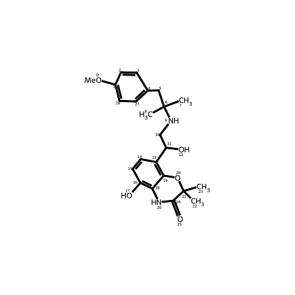 COc1ccc(CC(C)(C)NCC(O)c2ccc(O)c3c2OC(C)(C)C(=O)N3)cc1